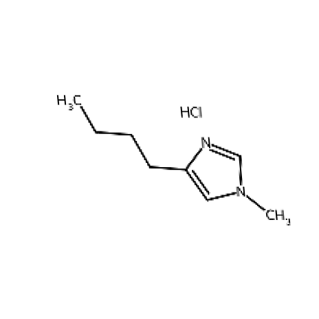 CCCCc1cn(C)cn1.Cl